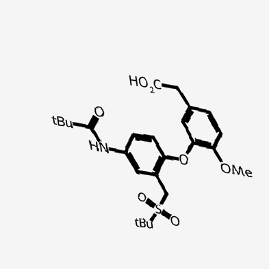 COc1ccc(CC(=O)O)cc1Oc1ccc(NC(=O)C(C)(C)C)cc1CS(=O)(=O)C(C)(C)C